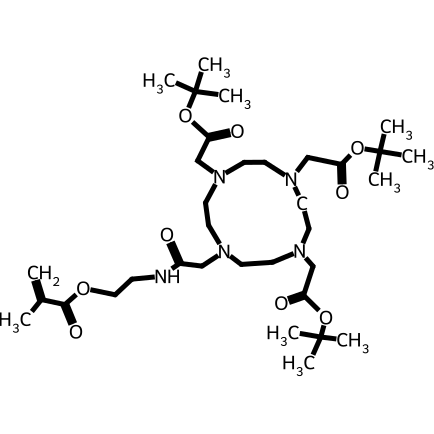 C=C(C)C(=O)OCCNC(=O)CN1CCN(CC(=O)OC(C)(C)C)CCN(CC(=O)OC(C)(C)C)CCN(CC(=O)OC(C)(C)C)CC1